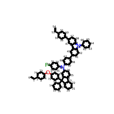 C=Cc1ccc(Oc2ccc(C3(c4ccccc4)c4ccccc4-c4ccc(N(c5ccc(F)cc5)c5ccc(-c6ccc7c(c6)c6cc(-c8ccc(C=C)cc8)ccc6n7-c6ccccc6)cc5)cc43)cc2)cc1